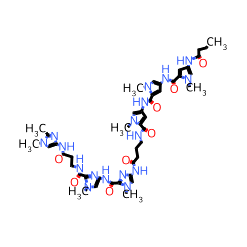 CCCC(=O)Nc1cc(C(=O)Nc2cc(C(=O)Nc3cc(C(=O)NCCCC(=O)Nc4cn(C)c(C(=O)Nc5cn(C)c(C(=O)NCCC(=O)Nc6cn(C)c(C)n6)n5)n4)n(C)c3)n(C)c2)n(C)c1